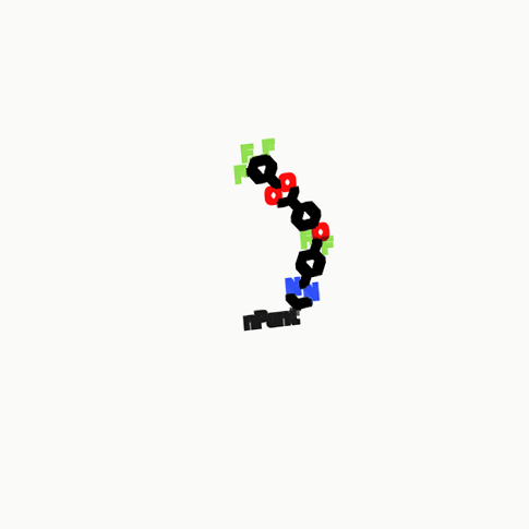 CCCCCc1cnc(-c2ccc(C(F)(F)Oc3ccc(C4COC(c5cc(F)c(F)c(F)c5)OC4)cc3)cc2)nc1